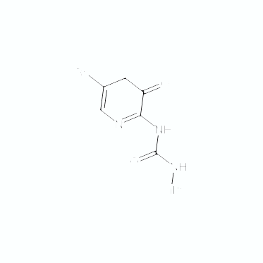 CC(C)NC(=O)NC1=NC=C(Br)CC1=O